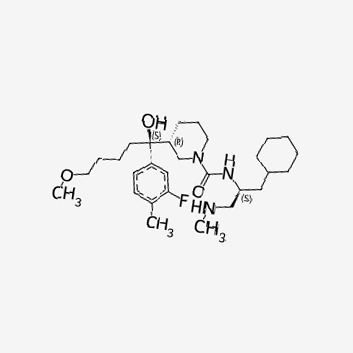 CNC[C@H](CC1CCCCC1)NC(=O)N1CCC[C@@H]([C@@](O)(CCCCOC)c2ccc(C)c(F)c2)C1